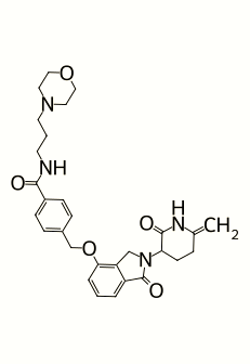 C=C1CCC(N2Cc3c(OCc4ccc(C(=O)NCCCN5CCOCC5)cc4)cccc3C2=O)C(=O)N1